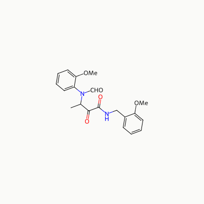 COc1ccccc1CNC(=O)C(=O)C(C)N(C=O)c1ccccc1OC